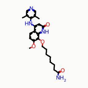 COc1ccc2c(Nc3c(C)cncc3C)cc(=O)[nH]c2c1OCCCCCCCC(N)=O